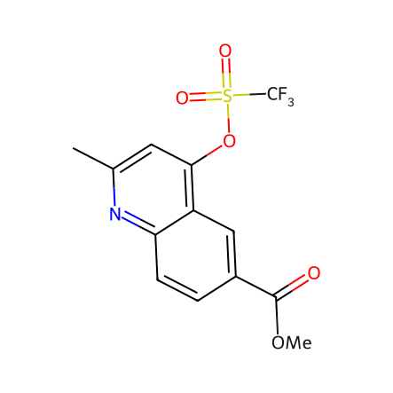 COC(=O)c1ccc2nc(C)cc(OS(=O)(=O)C(F)(F)F)c2c1